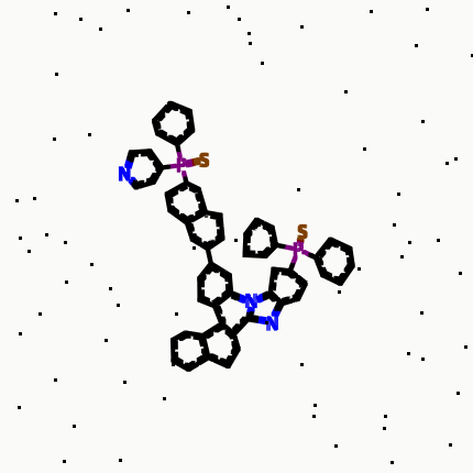 S=P(c1ccccc1)(c1ccncc1)c1ccc2cc(-c3ccc4c5c6ccccc6ccc5c5nc6ccc(P(=S)(c7ccccc7)c7ccccc7)cc6n5c4c3)ccc2c1